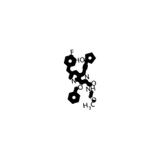 COCCNC(=O)c1nc(C#CC2(O)CCCC2)c2cc(Cc3ccc(F)cc3)cnc2c1OCc1ccccc1